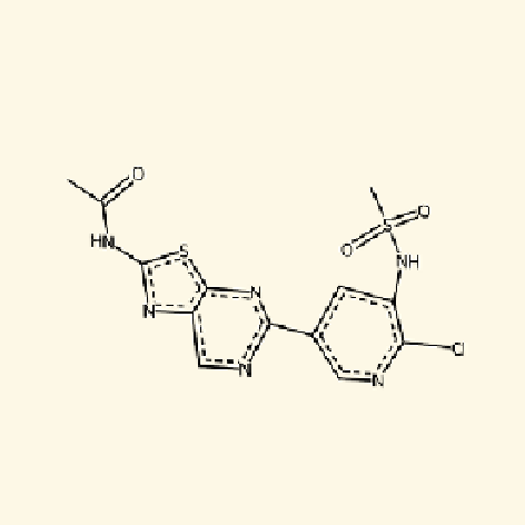 CC(=O)Nc1nc2cnc(-c3cnc(Cl)c(NS(C)(=O)=O)c3)nc2s1